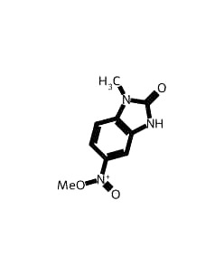 CO[N+](=O)c1ccc2c(c1)[nH]c(=O)n2C